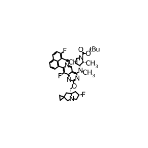 C#Cc1c(F)ccc2cccc(-c3ncc4c(N(C)[C@@H]5CCN(C(=O)OC(C)(C)C)[C@@H]5C)nc(OC[C@]56C[C@@H](F)CN5CC5(CC5)C6)nc4c3F)c12